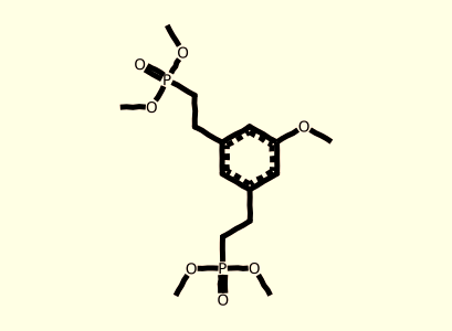 COc1cc(CCP(=O)(OC)OC)cc(CCP(=O)(OC)OC)c1